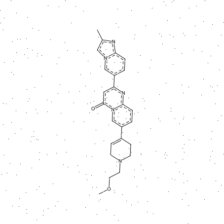 COCCN1CC=C(c2ccc3nc(-c4ccc5nc(C)cn5c4)cc(=O)n3c2)CC1